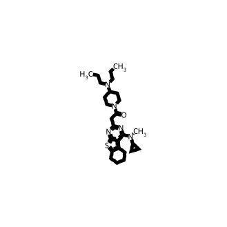 CCCN(CCC)C1CCN(C(=O)Cc2nc(N(C)C3CC3)c3c4c(sc3n2)CCCC4)CC1